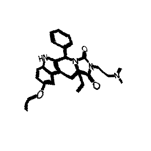 CCOc1ccc2[nH]c3c(c2c1)CC1(CC)C(=O)N(CCN(C)C)C(=O)N1C3c1ccccc1